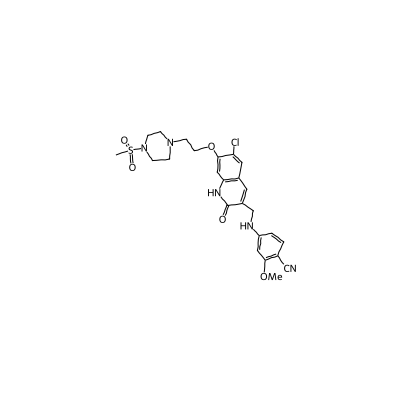 COc1cc(NCc2cc3cc(Cl)c(OCCN4CCN(S(C)(=O)=O)CC4)cc3[nH]c2=O)ccc1C#N